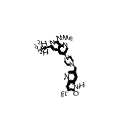 [2H]C([2H])([2H])c1cc2cc(N3CCN(Cc4cnc5cc(CC)c(=O)[nH]c5c4)CC3)cnc2c(NC)n1